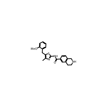 COc1ccccc1Cc1sc(NC(=O)c2ccc3c(c2)CCNC3)nc1C